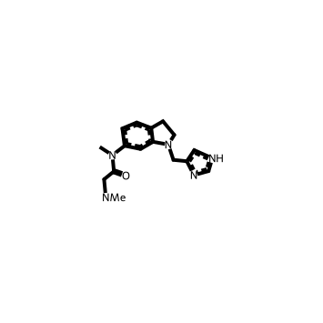 CNCC(=O)N(C)c1ccc2c(c1)N(Cc1c[nH]cn1)CC2